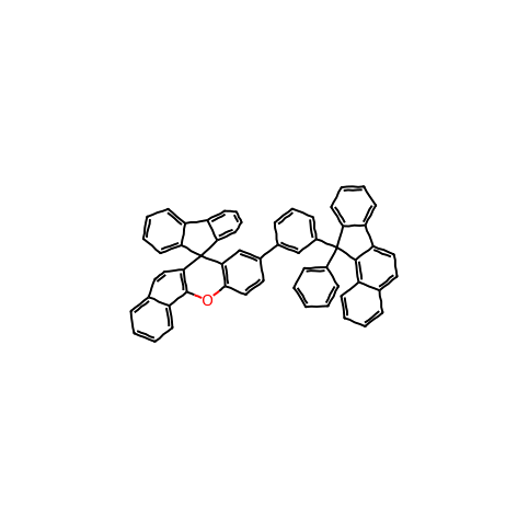 c1ccc(C2(c3cccc(-c4ccc5c(c4)C4(c6ccccc6-c6ccccc64)c4ccc6ccccc6c4O5)c3)c3ccccc3-c3ccc4ccccc4c32)cc1